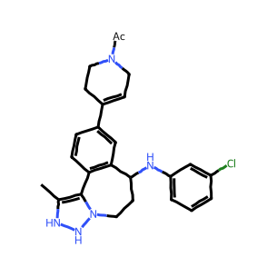 CC(=O)N1CC=C(c2ccc3c(c2)C(Nc2cccc(Cl)c2)CCN2NNC(C)=C32)CC1